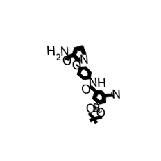 CC1(C)COB(c2cc(C#N)cc(C(=O)N[C@H]3CC[C@H](Oc4ncccc4C(N)=O)CC3)c2)OC1